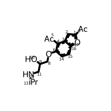 CC(=O)c1cc2c(C(C)=O)c(OCC(O)CNC(C)C)ccc2o1